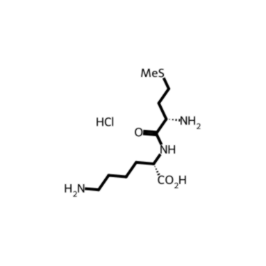 CSCC[C@H](N)C(=O)N[C@@H](CCCCN)C(=O)O.Cl